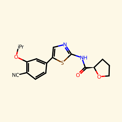 CC(C)Oc1cc(-c2cnc(NC(=O)[C@H]3CCCO3)s2)ccc1C#N